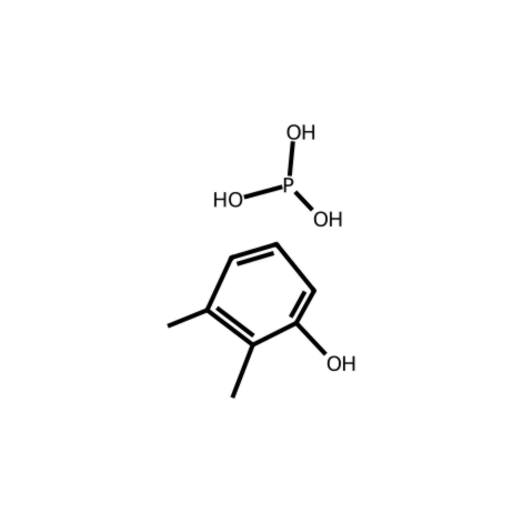 Cc1cccc(O)c1C.OP(O)O